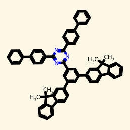 CC1(C)c2ccccc2-c2ccc(-c3cc(-c4ccc5c(c4)C(C)(C)c4ccccc4-5)cc(-c4nc(-c5ccc(-c6ccccc6)cc5)nc(-c5ccc(-c6ccccc6)cc5)n4)c3)cc21